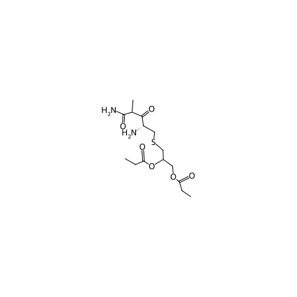 CCC(=O)OCC(CSC[C@H](N)C(=O)C(C)C(N)=O)OC(=O)CC